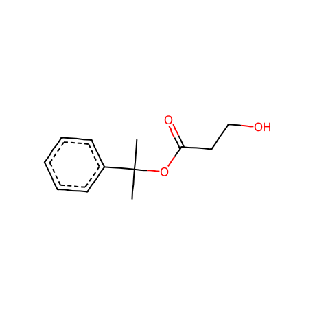 CC(C)(OC(=O)CCO)c1ccccc1